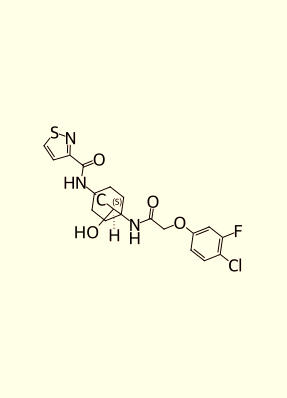 O=C(COc1ccc(Cl)c(F)c1)NC12CCC(NC(=O)c3ccsn3)(CC1)C[C@@H]2O